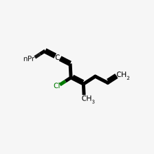 C=CC/C(C)=C(/Cl)C=C=CCCC